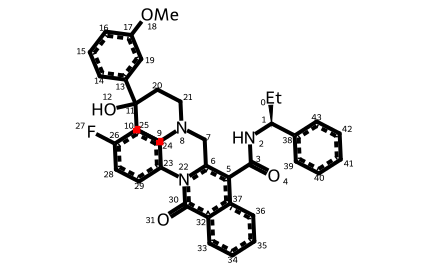 CC[C@H](NC(=O)c1c(CN2CCC(O)(c3cccc(OC)c3)CC2)n(-c2ccc(F)cc2)c(=O)c2ccccc12)c1ccccc1